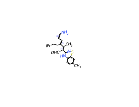 CC(=C(/C=O)C1=NSc2cc(C)ccc2N1)/C(=C/C=C\N)CCC(C)C